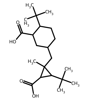 CC(C)(C)C1CCC(CC2(C)C(C(=O)O)C2C(C)(C)C)CC1C(=O)O